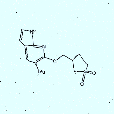 CC(C)(C)c1cc2cc[nH]c2nc1OCC1CCS(=O)(=O)C1